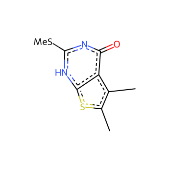 CSc1nc(=O)c2c(C)c(C)sc2[nH]1